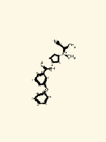 C=C(C#N)N(C)[C@H]1CC[C@@H](NC(=O)c2cccc(Oc3ccccc3)c2)C1